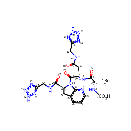 CC[C@H](C)[C@H](NC(=O)O)C(=O)N[C@@H](CC(=O)NCc1nn[nH]n1)C(=O)N1c2ncccc2C[C@H]1C(=O)NCc1nn[nH]n1